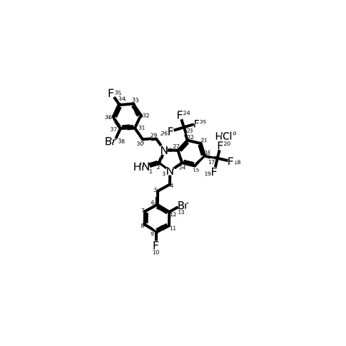 Cl.N=c1n(CCc2ccc(F)cc2Br)c2cc(C(F)(F)F)cc(C(F)(F)F)c2n1CCc1ccc(F)cc1Br